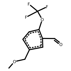 COCc1ccc(OC(F)(F)F)c(C=O)c1